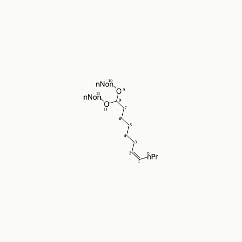 CCC/C=C\CCCCCC(OCCCCCCCCC)OCCCCCCCCC